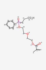 C=C(C)C(=O)OCCOCCOP(=O)(CCC(=O)O)c1ccccc1